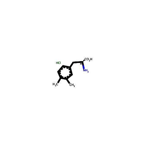 Cc1ccc(C[C@@H](N)C(=O)O)cc1C.Cl